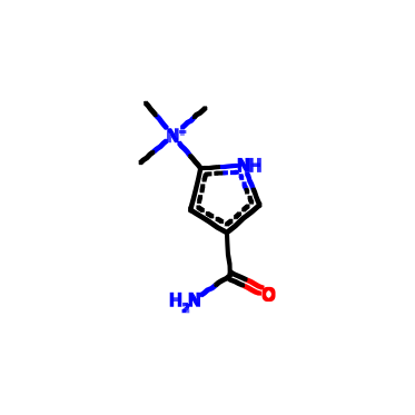 C[N+](C)(C)c1cc(C(N)=O)c[nH]1